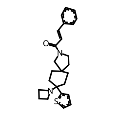 O=C(C=Cc1ccccc1)N1CCC2(CCC(c3cccs3)(N3CCC3)CC2)C1